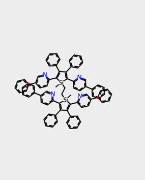 C[Si]1(CC[Si]2(C)C(c3ccc(-c4ccccc4)cn3)=C(c3ccccc3)C(c3ccccc3)=C2c2ccc(-c3ccccc3)cn2)C(c2ccc(-c3ccccc3)cn2)=C(c2ccccc2)C(c2ccccc2)=C1c1ccc(-c2ccccc2)cn1